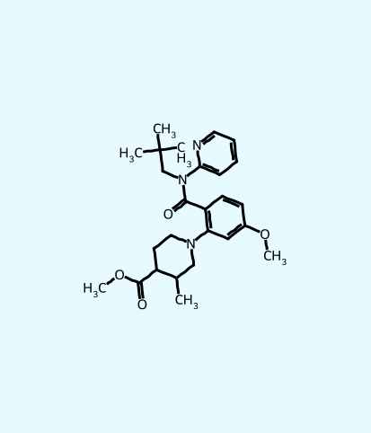 COC(=O)C1CCN(c2cc(OC)ccc2C(=O)N(CC(C)(C)C)c2ccccn2)CC1C